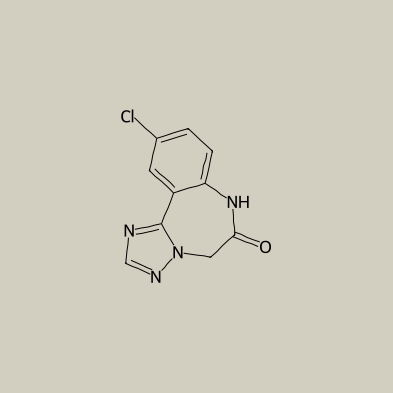 O=C1Cn2ncnc2-c2cc(Cl)ccc2N1